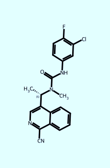 C[C@@H](c1cnc(C#N)c2ccccc12)N(C)C(=O)Nc1ccc(F)c(Cl)c1